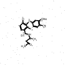 CC[C@@H](N[C@@H](C)CC(N)=O)c1ccc(Cl)c(Oc2ccc(C#N)c(OC)c2)c1F